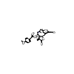 C=C1C(=O)OC2CC3=C[C@@H](C/C(C)=C/C(OC(=O)c4ccc(OC)cc4)[C@H]12)OC3=O